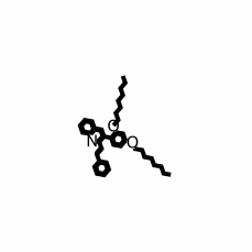 CCCCCCCCOc1ccc(-c2cc3ccccc3nc2C=Cc2ccccc2)c(OCCCCCCCC)c1